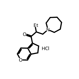 CCC(CN1CCCCCC1)C(=O)C1=C2C=COC=C2CC1.Cl